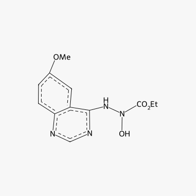 CCOC(=O)N(O)Nc1ncnc2ccc(OC)cc12